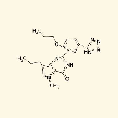 CCCOc1ccc(-c2nnn[nH]2)cc1-c1nc2c(CCC)cn(C)c2c(=O)[nH]1